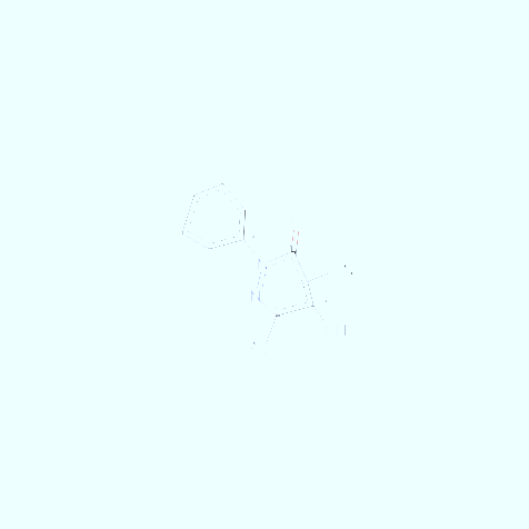 CC(=O)c1nn(-c2ccccc2)c(=O)c(C#N)c1C